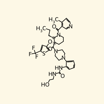 CCC[C@H]1N(C(=O)c2cnccc2C)CCC[C@@]1(Oc1csc(C(F)(F)F)c1)C(=O)N1CCN(c2ccccc2NC(=O)NCCO)CC1